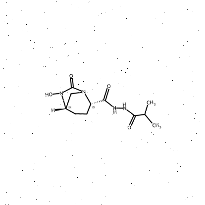 CC(C)C(=O)NNC(=O)[C@@H]1CC[C@H]2CN1C(=O)N2O